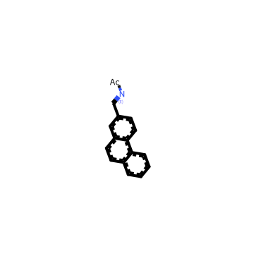 CC(=O)/N=C/c1ccc2c(ccc3ccccc32)c1